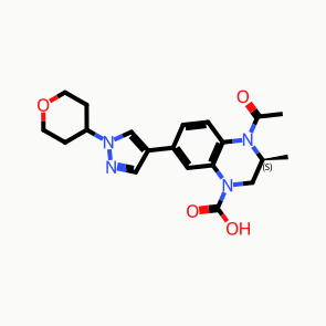 CC(=O)N1c2ccc(-c3cnn(C4CCOCC4)c3)cc2N(C(=O)O)C[C@@H]1C